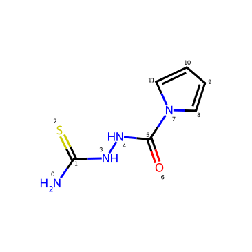 NC(=S)NNC(=O)n1cccc1